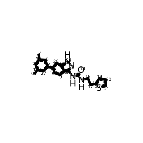 Cc1cc(C)cc(-c2ccc3c(NC(=O)NCCc4cccs4)n[nH]c3c2)c1